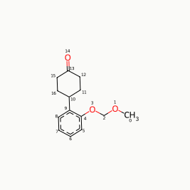 COCOc1ccccc1C1CCC(=O)CC1